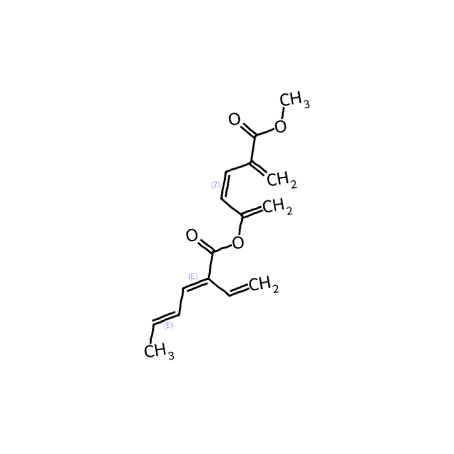 C=C/C(=C\C=C\C)C(=O)OC(=C)/C=C\C(=C)C(=O)OC